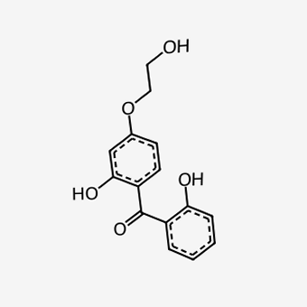 O=C(c1ccccc1O)c1ccc(OCCO)cc1O